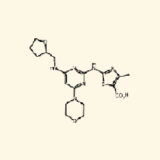 Cc1nc(Nc2nc(NCC3CCCO3)cc(N3CCOCC3)n2)sc1C(=O)O